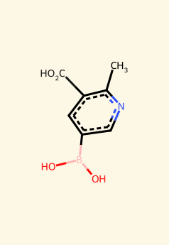 Cc1ncc(B(O)O)cc1C(=O)O